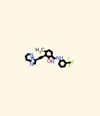 Cc1ccc2c(Nc3cccc(C(F)(F)F)c3)noc2c1C#Cc1cnc2cccnn12